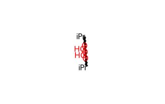 CC(C)CCCCCOCC(O)COCC(O)COCCCCCC(C)C